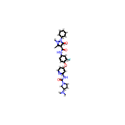 Cc1c(C(=O)Nc2ccc(Oc3ccnc(NC(=O)N4CC[C@@H](N(C)C)C4)c3)c(F)c2)c(=O)n(-c2ccccc2)n1C